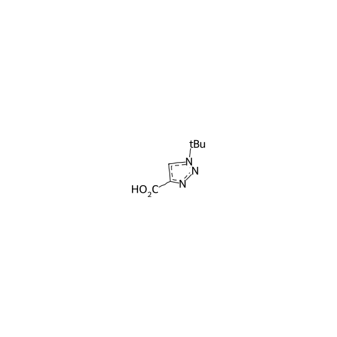 CC(C)(C)n1cc(C(=O)O)nn1